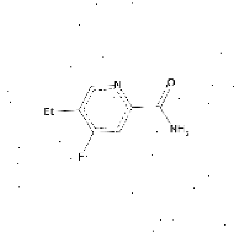 CCc1cnc(C(N)=O)cc1F